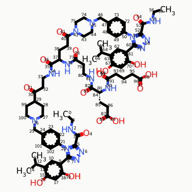 CCNC(=O)c1nnc(-c2cc(C(C)C)c(O)cc2O)n1-c1ccc(CN2CCC(C(=O)CCNC(=O)C(CCC(=O)N3CCN(Cc4ccc(-n5c(C(=O)NCC)nnc5-c5cc(C(C)C)c(O)cc5O)cc4)CC3)NC(=O)CCNC(=O)[C@@H](CCC(=O)O)NC(=O)CCCC(=O)O)CC2)cc1